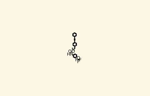 O=C(Nc1ccc(OC(F)(F)F)cc1)O/N=C/c1ccc(C#Cc2ccccc2)cc1